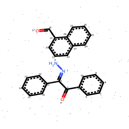 NN=C(C(=O)c1ccccc1)c1ccccc1.O=Cc1cccc2ccccc12